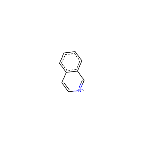 [c]1ccc2c(c1)C=C[N+]=C2